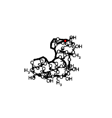 C[Si]12OCC3CC4O[Si](O3)(O1)O[Si]1(C)O[Si](O)(O2)O[Si]2(O)O[Si]3(C)O[Si]5(O)O[Si]6(C)O[Si]7(OC(C4O[Si](O1)(O2)O7)C1O[Si]2(O6)O[Si](O)(O[Si]4(C)O[Si]6(O)O[Si]7(C)O[Si]89OC(CO[Si](O)(O6)O8)CC(O9)C1O[Si](O4)(O7)O2)O5)O3